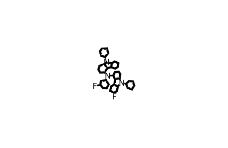 Fc1cccc(N(c2cccc3c2c2ccccc2n3-c2ccccc2)c2cccc3c2c2ccc(F)cc2n3-c2ccccc2)c1